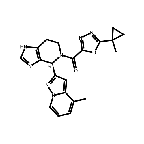 Cc1cccn2nc([C@H]3c4nc[nH]c4CCN3C(=O)c3nnc(C4(C)CC4)o3)cc12